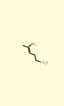 CC(N)=CCCC(=O)O